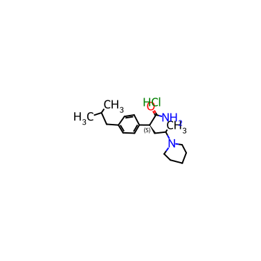 CC(C)Cc1ccc([C@H](CC(C)N2CCCCC2)C(N)=O)cc1.Cl